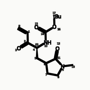 C=CC(=O)[C@H](CC1CCN(C)C1=O)NC(=O)OC(C)(C)C